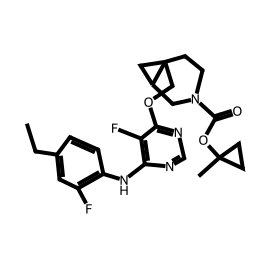 CCc1ccc(Nc2ncnc(OCC34CCN(C(=O)OC5(C)CC5)CC3C4)c2F)c(F)c1